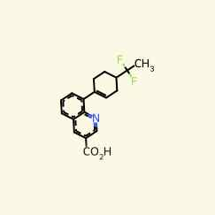 CC(F)(F)C1CC=C(c2cccc3cc(C(=O)O)cnc23)CC1